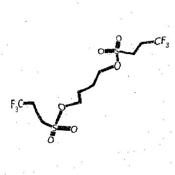 O=S(=O)(CCC(F)(F)F)OCCCCOS(=O)(=O)CCC(F)(F)F